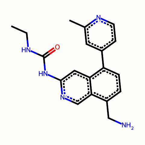 CCNC(=O)Nc1cc2c(-c3ccnc(C)c3)ccc(CN)c2cn1